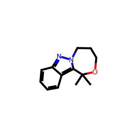 CC1(C)OCCCn2nc3ccccc3c21